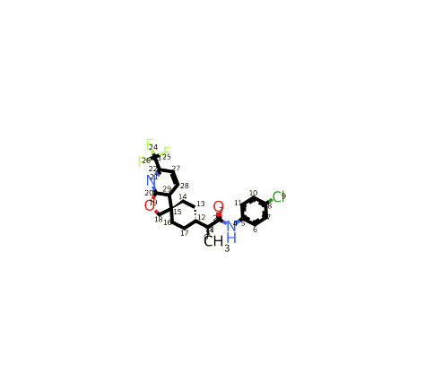 C[C@H](C(=O)Nc1ccc(Cl)cc1)[C@H]1CC[C@@]2(CC1)COC1N=C(C(F)(F)F)C=CC12